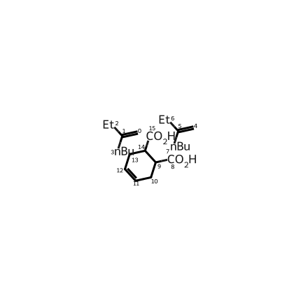 C=C(CC)CCCC.C=C(CC)CCCC.O=C(O)C1CC=CCC1C(=O)O